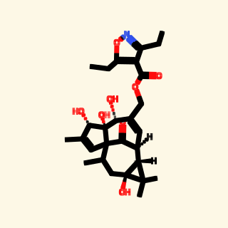 CCc1noc(CC)c1C(=O)OCC1=C[C@@H]2C(=O)C3(C=C(C)[C@H](O)[C@@]3(O)[C@@H]1O)C(C)C[C@]1(O)[C@H]2C1(C)C